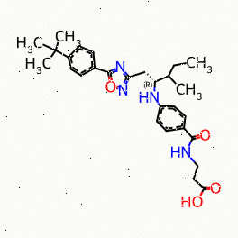 CCC(C)[C@@H](Cc1noc(-c2ccc(C(C)(C)C)cc2)n1)Nc1ccc(C(=O)NCCC(=O)O)cc1